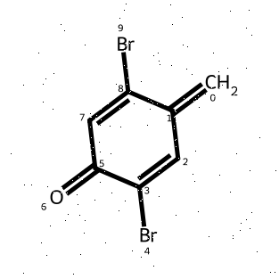 C=C1C=C(Br)C(=O)C=C1Br